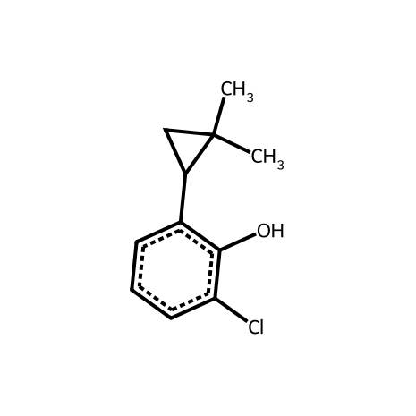 CC1(C)CC1c1cccc(Cl)c1O